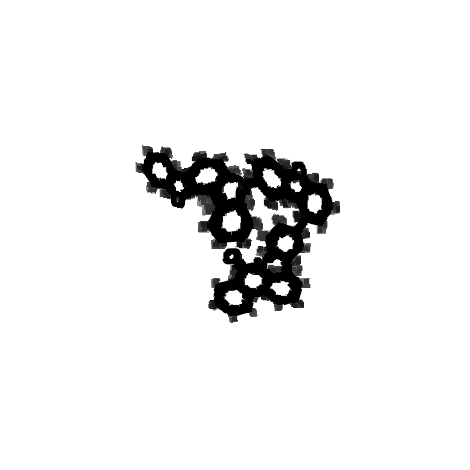 O=c1c2ccccc2c2cccc3c4cc(-c5cccc6oc7ccc(-n8c9ccccc9c9c%10oc%11ccccc%11c%10ccc98)cc7c56)ccc4n1c23